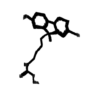 CCCCOC(=O)NCCCCC1(C)c2cc(Br)ccc2-c2ccc(Br)cc21